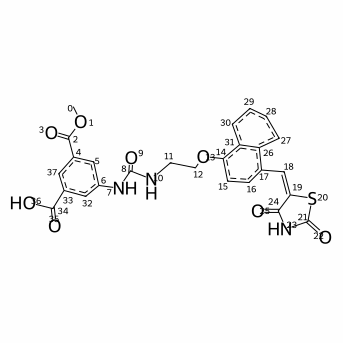 COC(=O)c1cc(NC(=O)NCCOc2ccc(C=C3SC(=O)NC3=O)c3ccccc23)cc(C(=O)O)c1